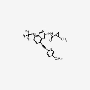 [2H]C([2H])([2H])Nc1ncc(C#Cc2ccc(OC)cn2)c2cc(NC(=O)[C@H]3C[C@H]3C)ncc12